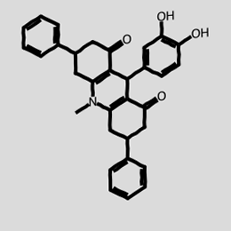 CN1C2=C(C(=O)CC(c3ccccc3)C2)C(c2ccc(O)c(O)c2)C2=C1CC(c1ccccc1)CC2=O